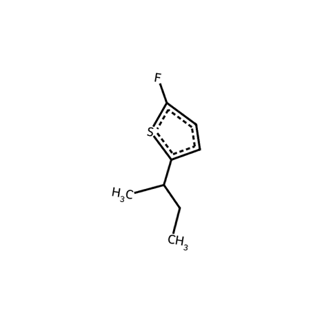 CCC(C)c1ccc(F)s1